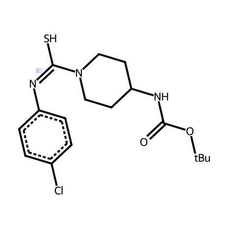 CC(C)(C)OC(=O)NC1CCN(/C(S)=N\c2ccc(Cl)cc2)CC1